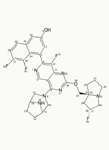 Oc1cc(-c2ncc3c(N4CC5CCC(C4)N5)nc(OC[C@@]45CCCN4C[C@H](F)C5)nc3c2F)c2c(F)c(F)ccc2c1